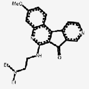 CCN(CC)CCNc1nc2cc(OC)ccc2c2c1C(=O)c1cnccc1-2